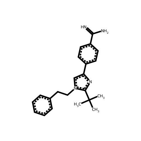 CC(C)(C)c1nc(-c2ccc(C(=N)N)cc2)cn1CCc1ccccc1